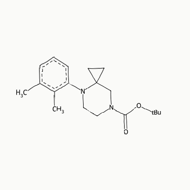 Cc1cccc(N2CCN(C(=O)OC(C)(C)C)CC23CC3)c1C